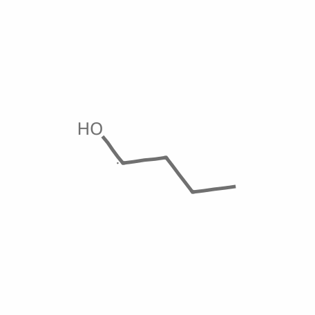 CCC[CH]O